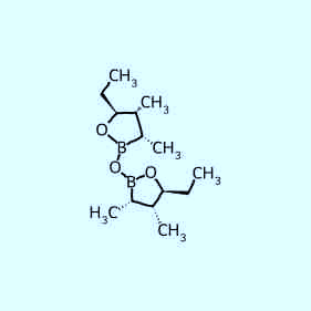 CC[C@@H]1OB(OB2O[C@@H](CC)[C@H](C)[C@@H]2C)[C@@H](C)[C@H]1C